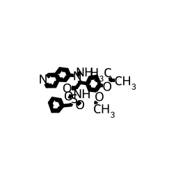 CCOc1cc(C(C(=O)NS(=O)(=O)Cc2ccccc2)N(N)c2ccc3cnccc3c2)ccc1OC(C)C